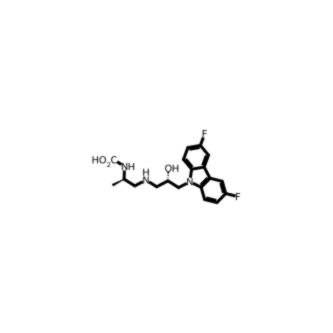 C[C@H](CNC[C@H](O)Cn1c2ccc(F)cc2c2cc(F)ccc21)NC(=O)O